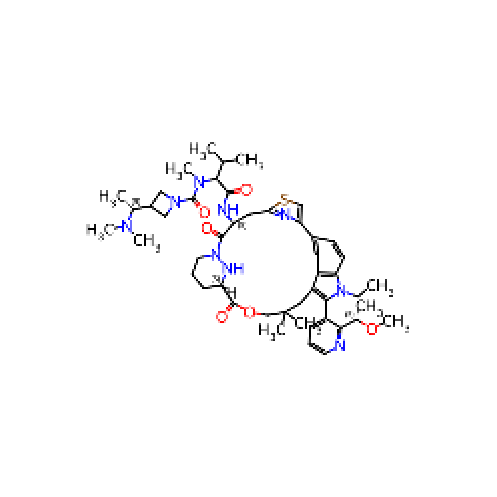 CCn1c(-c2cccnc2[C@H](C)OC)c2c3cc(ccc31)-c1csc(n1)C[C@H](NC(=O)C(C(C)C)N(C)C(=O)N1CC([C@@H](C)N(C)C)C1)C(=O)N1CCC[C@H](N1)C(=O)OCC(C)(C)C2